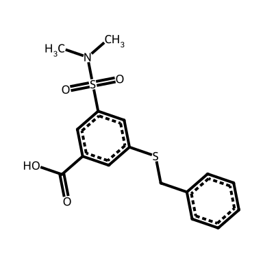 CN(C)S(=O)(=O)c1cc(SCc2ccccc2)cc(C(=O)O)c1